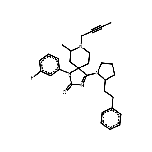 CC#CCN1CCC2(CC1C)C(N1CCCC1CCc1ccccc1)=NC(=O)N2c1cccc(F)c1